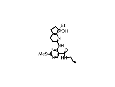 C=CCNC(=O)c1cnc(SC)nc1NC1=NC2=C(CC1)CC[C@]2(O)CC